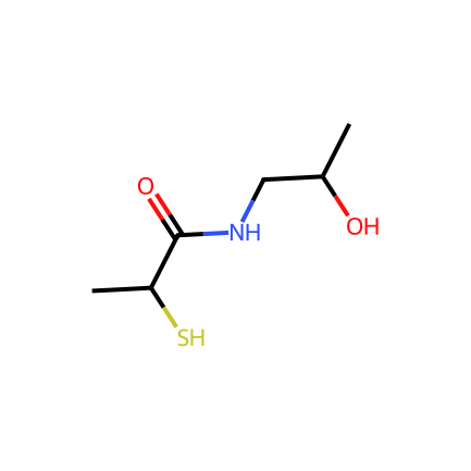 CC(O)CNC(=O)C(C)S